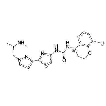 CC(N)Cn1ccc(-c2nc(NC(=O)N[C@H]3CCOc4c(Cl)cccc43)cs2)n1